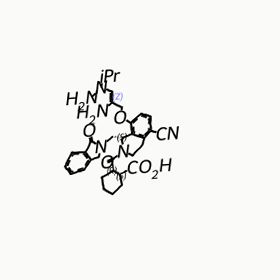 CC(C)N(N)/C=C(\N)COc1ccc(C#N)c2c1[C@@H](CN1Cc3ccccc3C1=O)N(C(=O)[C@@H]1CCCC[C@@H]1C(=O)O)CC2